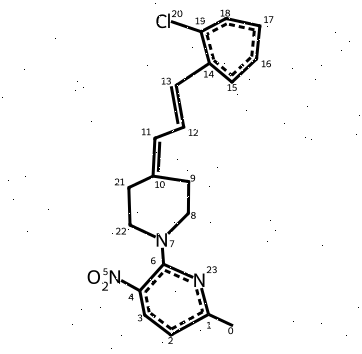 Cc1ccc([N+](=O)[O-])c(N2CCC(=CC=Cc3ccccc3Cl)CC2)n1